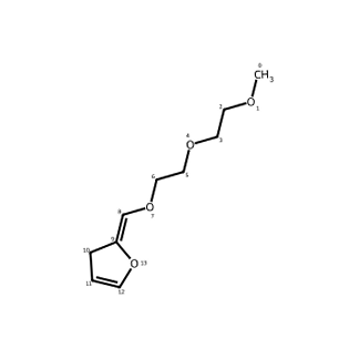 COCCOCCOC=C1CC=CO1